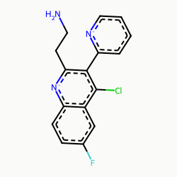 NCCc1nc2ccc(F)cc2c(Cl)c1-c1ccccn1